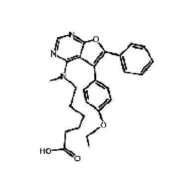 CCOc1ccc(-c2c(-c3ccccc3)oc3ncnc(N(C)CCCCCC(=O)O)c23)cc1